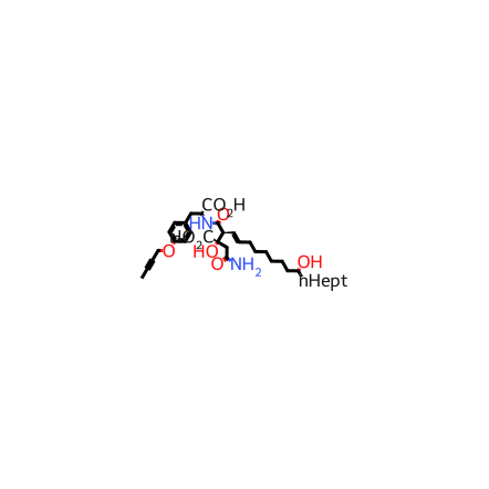 CC#CCOc1ccc(C[C@H](NC(=O)[C@@H](C=CCCCCCCC(O)CCCCCCC)[C@@](O)(CC(N)=O)C(=O)O)C(=O)O)cc1